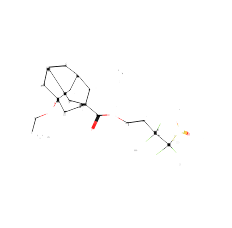 COCOC12CC3CC(C1)CC(C(=O)OCCC(F)(F)C(F)(F)S(=O)[O-])(C3)C2.[Na+]